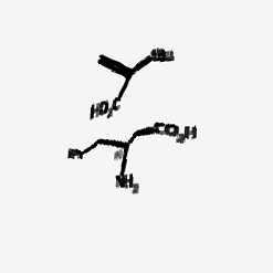 C=C(C(=O)O)C(C)(C)C.CC(C)C[C@H](N)C(=O)O